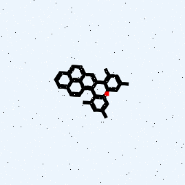 Cc1cc(C)c(-c2[c]c3ccc4cccc5ccc(c2-c2c(C)cc(C)cc2C)c3c45)c(C)c1